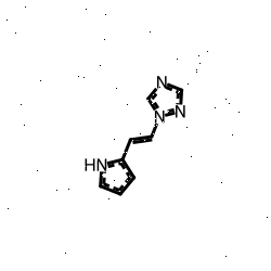 C(=Cn1cncn1)c1ccc[nH]1